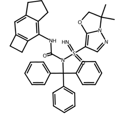 CC1(C)COc2c(S(=N)(=O)N(C(=O)Nc3c4c(cc5c3CC5)CCC4)C(c3ccccc3)(c3ccccc3)c3ccccc3)cnn21